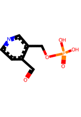 O=Cc1ccncc1COP(=O)(O)O